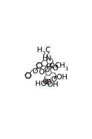 CCCN1CCC[C@@H]2Cc3c(ccc(OCc4ccccc4)c3O[C@@H]3O[C@H](C(=O)OC)[C@@H](CC(=O)O)[C@H](CC(=O)O)[C@H]3CC(=O)O)C[C@H]21